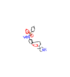 CC1(C2C=Cc3cc(NS(=O)(=O)c4ccccc4)ccc3O2)CCNCC1